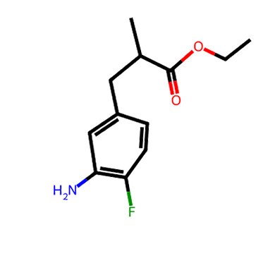 CCOC(=O)C(C)Cc1ccc(F)c(N)c1